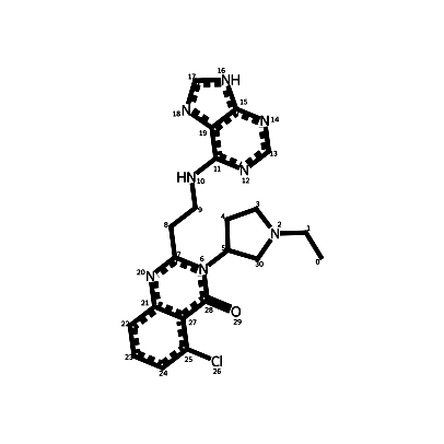 CCN1CCC(n2c(CCNc3ncnc4[nH]cnc34)nc3cccc(Cl)c3c2=O)C1